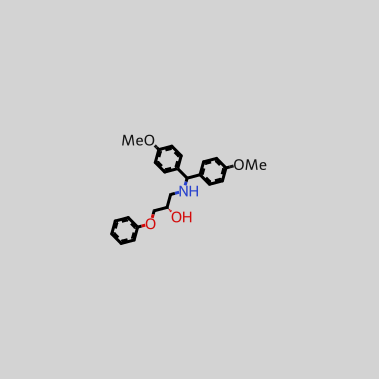 COc1ccc(C(NC[C@H](O)COc2ccccc2)c2ccc(OC)cc2)cc1